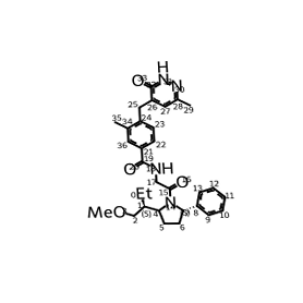 CC[C@H](COC)C1CC[C@@H](c2ccccc2)N1C(=O)CNC(=O)c1ccc(Cc2cc(C)n[nH]c2=O)c(C)c1